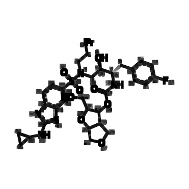 CC(C)CCN(C[C@@H](O)[C@H](Cc1ccc(F)cc1)NC(=O)OC1C(CO)OC2COCC21)S(=O)(=O)c1ccc2nc(NC3CC3)sc2c1